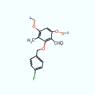 Cc1c(OSI)cc(OSI)c(C=O)c1OCc1ccc(F)cc1